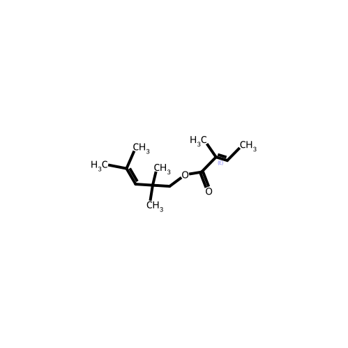 C/C=C(\C)C(=O)OCC(C)(C)C=C(C)C